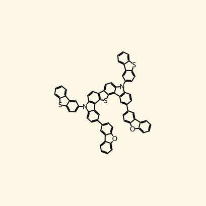 c1ccc2c(c1)oc1ccc(-c3ccc4c(c3)c3c5sc6c(ccc7c6c6cc(-c8ccc9oc%10ccccc%10c9c8)ccc6n7-c6ccc7sc8ccccc8c7c6)c5ccc3n4-c3ccc4sc5ccccc5c4c3)cc12